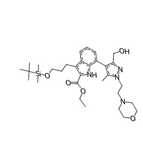 CCOC(=O)c1[nH]c2c(-c3c(CO)nn(CCN4CCOCC4)c3C)cccc2c1CCCO[Si](C)(C)C(C)(C)C